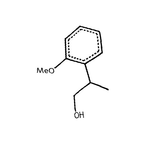 COc1ccccc1C(C)CO